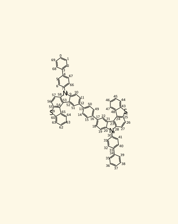 c1ccc(-c2ccc(-n3c4ccc(-c5ccc(-c6ccc7c(c6)c6c8c(ccc6n7-c6ccc(-c7ccccc7)cc6)sc6ccccc68)cc5)cc4c4c5c(ccc43)sc3ccccc35)cc2)cc1